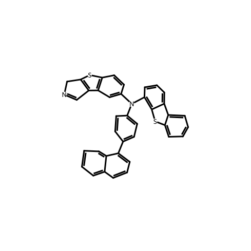 C1=NCc2sc3ccc(N(c4ccc(-c5cccc6ccccc56)cc4)c4cccc5c4sc4ccccc45)cc3c21